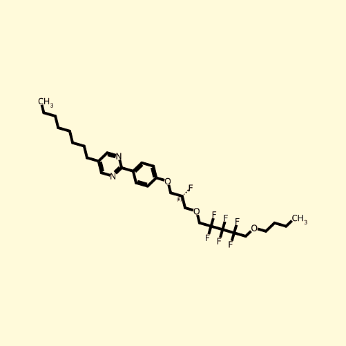 CCCCCCCCc1cnc(-c2ccc(OC[C@H](F)COCC(F)(F)C(F)(F)C(F)(F)COCCCC)cc2)nc1